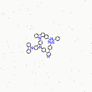 c1ccc(-c2nc(-c3ccccc3)nc(-c3ccc(-c4ccncc4-c4ccc(-n5c6ccc(-n7c8ccccc8c8ccccc87)cc6c6cc(-n7c8ccccc8c8ccccc87)ccc65)cc4)cc3)n2)cc1